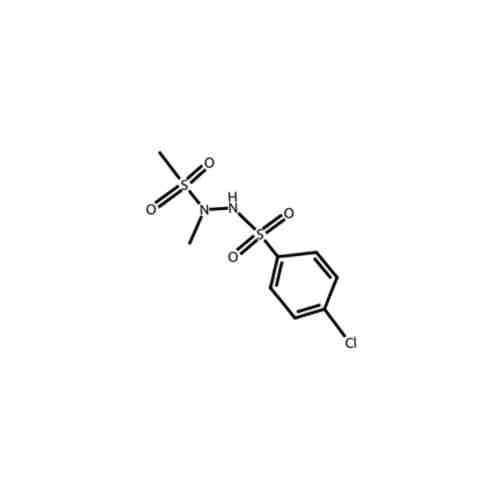 CN(NS(=O)(=O)c1ccc(Cl)cc1)S(C)(=O)=O